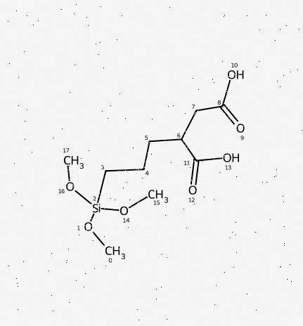 CO[Si](CCCC(CC(=O)O)C(=O)O)(OC)OC